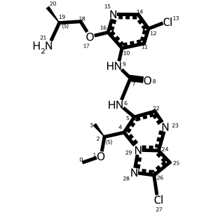 CO[C@@H](C)c1c(NC(=O)Nc2cc(Cl)cnc2OC[C@H](C)N)cnc2cc(Cl)nn12